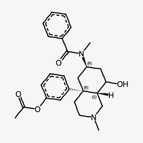 CC(=O)Oc1cccc([C@@]23CCN(C)C[C@H]2C(O)C[C@H](N(C)C(=O)c2ccccc2)C3)c1